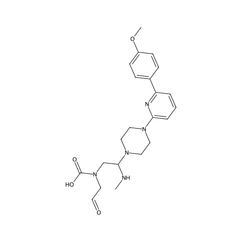 CNC(CN(CC=O)C(=O)O)N1CCN(c2cccc(-c3ccc(OC)cc3)n2)CC1